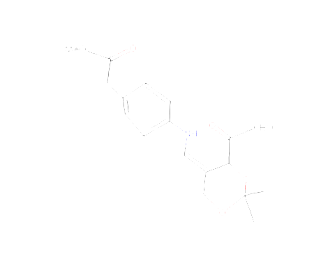 COC(=O)Cc1ccc(NC=C2COC(C)(C)OC2C(=O)C=O)cc1